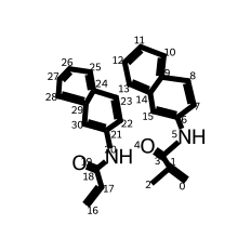 C=C(C)C(=O)Nc1ccc2ccccc2c1.C=CC(=O)Nc1ccc2ccccc2c1